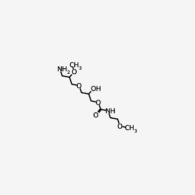 COCCNC(=O)OCC(O)COCC(CN)OC